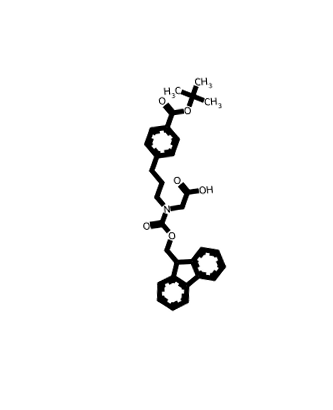 CC(C)(C)OC(=O)c1ccc(CCCN(CC(=O)O)C(=O)OCC2c3ccccc3-c3ccccc32)cc1